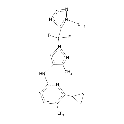 Cc1nn(C(F)(F)c2ncnn2C)cc1Nc1ncc(C(F)(F)F)c(C2CC2)n1